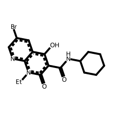 CCn1c(=O)c(C(=O)NC2CCCCC2)c(O)c2cc(Br)cnc21